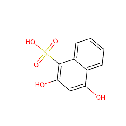 O=S(=O)(O)c1c(O)cc(O)c2ccccc12